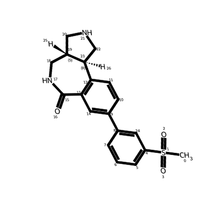 CS(=O)(=O)c1cccc(-c2ccc3c(c2)C(=O)NC[C@@H]2CNC[C@@H]32)c1